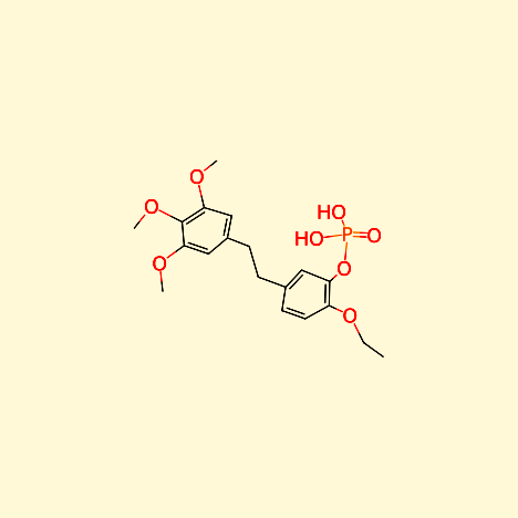 CCOc1ccc(CCc2cc(OC)c(OC)c(OC)c2)cc1OP(=O)(O)O